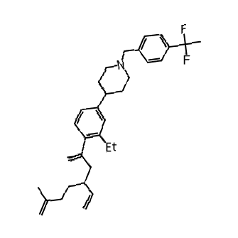 C=CC(CCC(=C)C)CC(=C)c1ccc(C2CCN(Cc3ccc(C(C)(F)F)cc3)CC2)cc1CC